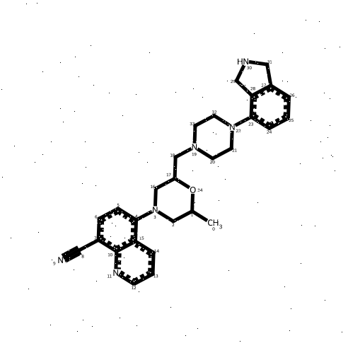 CC1CN(c2ccc(C#N)c3ncccc23)CC(CN2CCN(c3cccc4c3CNC4)CC2)O1